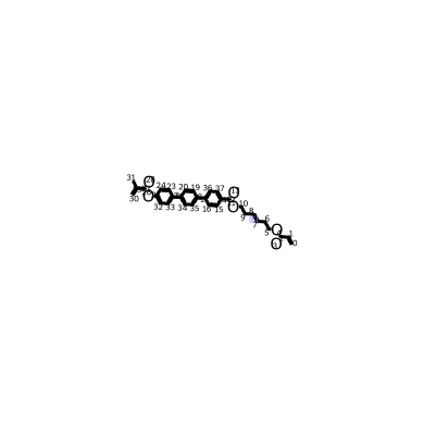 C=CC(=O)OCC/C=C/CCOC(=O)c1ccc(-c2ccc(-c3ccc(OC(=O)C(=C)C)cc3)cc2)cc1